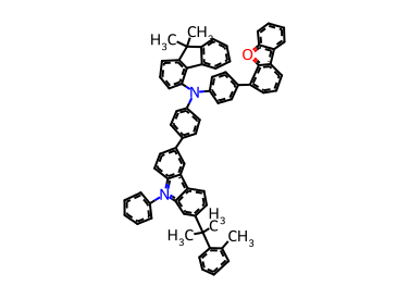 Cc1ccccc1C(C)(C)c1ccc2c3cc(-c4ccc(N(c5ccc(-c6cccc7c6oc6ccccc67)cc5)c5cccc6c5-c5ccccc5C6(C)C)cc4)ccc3n(-c3ccccc3)c2c1